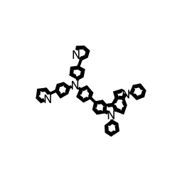 c1ccc(-n2ccc3c4c5cc(-c6ccc(N(c7ccc(-c8ccccn8)cc7)c7ccc(-c8ccccn8)cc7)cc6)ccc5n(-c5ccccc5)c4ccc32)cc1